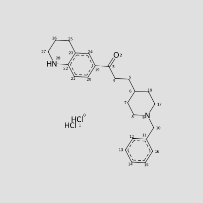 Cl.Cl.O=C(CCC1CCN(Cc2ccccc2)CC1)c1ccc2c(c1)CCCN2